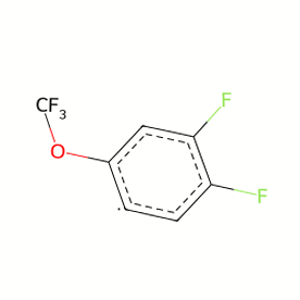 Fc1c[c]c(OC(F)(F)F)cc1F